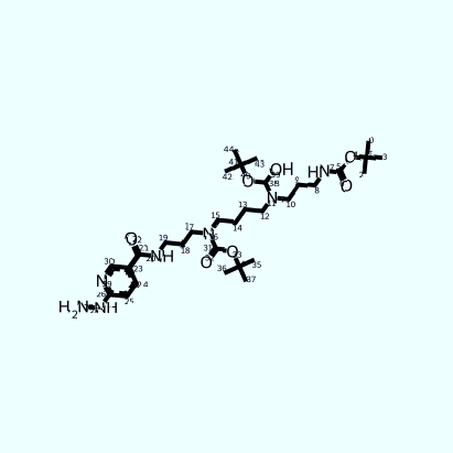 CC(C)(C)OC(=O)NCCCN(CCCCN(CCCNC(=O)c1ccc(NN)nc1)C(=O)OC(C)(C)C)C(O)OC(C)(C)C